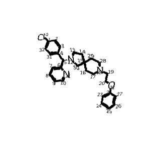 Clc1ccc([C@@H](c2ccccn2)N2CCC3(CCN(CCOc4ccccc4)CC3)C2)cc1